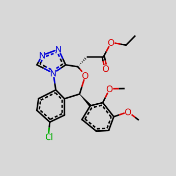 CCOC(=O)C[C@@H]1O[C@@H](c2cccc(OC)c2OC)c2cc(Cl)ccc2-n2cnnc21